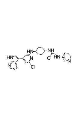 O=C(CNC1CN2CCC1CC2)N[C@H]1CC[C@H](Nc2cc(-c3c[nH]c4ncccc34)cc(Cl)n2)CC1